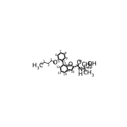 CCCCOc1ccccc1-c1cccc2cc(C(=O)NC(C)(C)CO)oc12